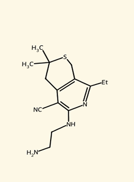 CCc1nc(NCCN)c(C#N)c2c1CSC(C)(C)C2